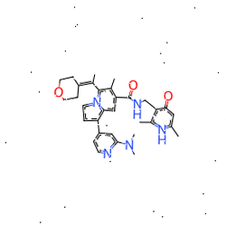 CC(=C1CCOCC1)c1c(C)c(C(=O)NCc2c(C)[nH]c(C)cc2=O)cc2c(-c3ccnc(N(C)C)c3)ccn12